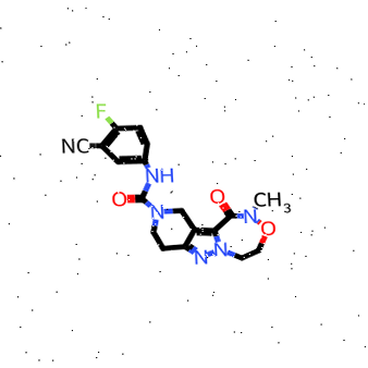 CN1OCCn2nc3c(c2C1=O)CN(C(=O)Nc1ccc(F)c(C#N)c1)CC3